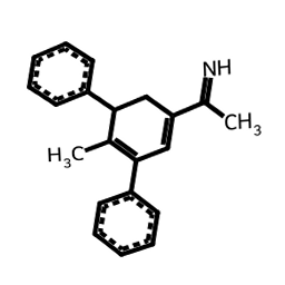 CC(=N)C1=CC(c2ccccc2)=C(C)C(c2ccccc2)C1